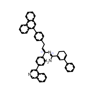 N/C(=N\C(=C/Cc1ccc(-c2cc3ccccc3c3ccccc23)cc1)c1ccc(-c2cncc3ccccc23)cc1)C1=CC(c2ccccc2)=CCC1